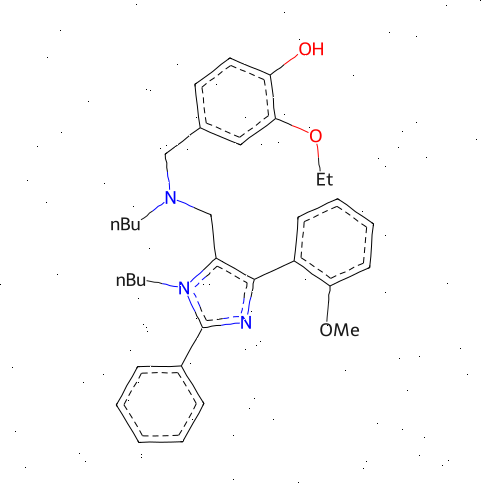 CCCCN(Cc1ccc(O)c(OCC)c1)Cc1c(-c2ccccc2OC)nc(-c2ccccc2)n1CCCC